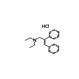 CCN(CC)C/C(=C/c1ccccc1)c1ccccc1.Cl